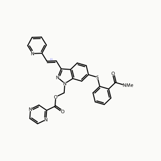 CNC(=O)c1ccccc1Sc1ccc2c(/C=C/c3ccccn3)nn(COC(=O)c3cnccn3)c2c1